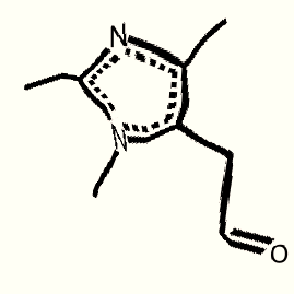 Cc1nc(C)n(C)c1CC=O